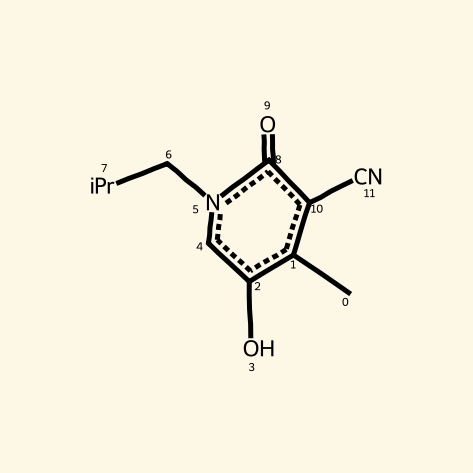 Cc1c(O)cn(CC(C)C)c(=O)c1C#N